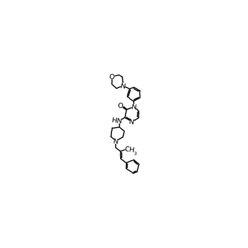 C/C(=C\c1ccccc1)CN1CCC(Nc2nccn(-c3cccc(N4CCOCC4)c3)c2=O)CC1